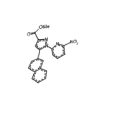 COC(=O)c1cc(-c2ccc3ccccc3c2)n(-c2cccc([N+](=O)[O-])n2)n1